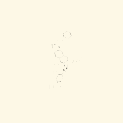 Cc1cc2c(cc1C)OCOc1c(c(SOOO)cc3cc(NCOc4ccccc4)ccc13)N=N2